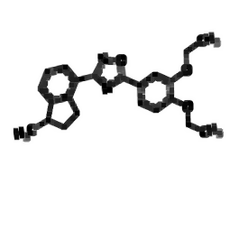 CCOc1ccc(-c2nc(-c3cccc4c3CCC4C)no2)cc1OCC